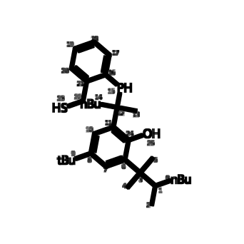 CCCCC(C)C(C)(C)c1cc(C(C)(C)C)cc(C(C)(CCCC)Pc2ccccc2CS)c1O